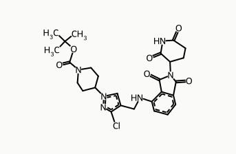 CC(C)(C)OC(=O)N1CCC(n2cc(CNc3cccc4c3C(=O)N(C3CCC(=O)NC3=O)C4=O)c(Cl)n2)CC1